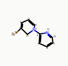 BrC1=CC=CN(c2ccccn2)C1